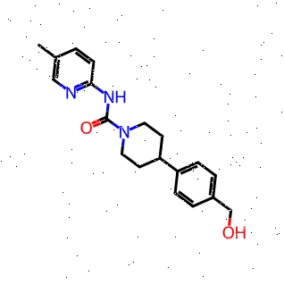 Cc1ccc(NC(=O)N2CCC(c3ccc(CO)cc3)CC2)nc1